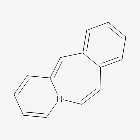 C1=CC2=Cc3ccccc3C=CN2C=C1